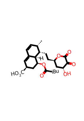 CCC(C)C(=O)O[C@H]1C[C@@H](C(=O)O)C=C2C=C[C@H](C)[C@H](CC[C@@H]3C[C@@H](O)C(=O)C(=O)O3)[C@H]21